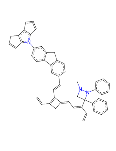 C=CC1=C(C=Cc2ccc3c(c2)-c2ccc(-n4c5c(c6c4C=CC6)C=C=C5)cc2C3)/C(=C/C=C(/C=C)C2(c3ccccc3)CN(C)N2c2ccccc2)C1